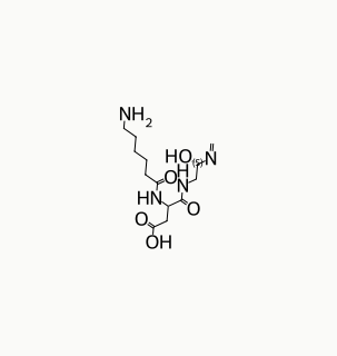 C=N[C@@H](O)CNC(=O)C(CC(=O)O)NC(=O)CCCCCN